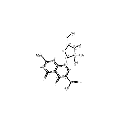 CSc1nc2c(c(=O)[nH]1)c(=O)c(C(N)=O)cn2[C@@H]1O[C@H](CO)[C@@H](O)[C@@]1(C)O